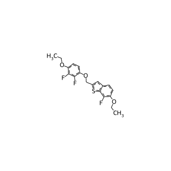 CCOc1ccc(OCc2cc3ccc(OCC)c(F)c3s2)c(F)c1F